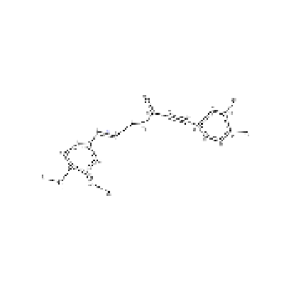 COc1ccc(/C=C/COC(=O)C#Cc2ccc(C)c(C)c2)cc1OC